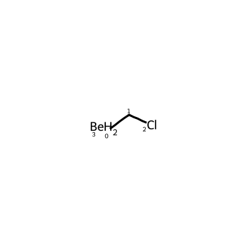 CCCl.[BeH2]